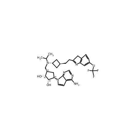 CC(C)N(C[C@H]1C[C@@H](n2ccc3c(N)ncnc32)[C@H](O)[C@@H]1O)[C@H]1C[C@H](CCC2=Nc3cc(OC(F)(F)F)ccc3C2)C1